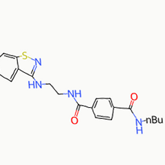 CCCCNC(=O)c1ccc(C(=O)NCCNc2nsc3ccccc23)cc1